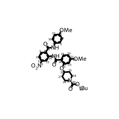 COc1ccc(NC(=O)c2ccc([N+](=O)[O-])cc2NC(=O)c2ccc(OC)cc2OC2CCN(C(=O)OC(C)(C)C)CC2)cc1